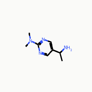 CC(N)c1cnc(N(C)C)nc1